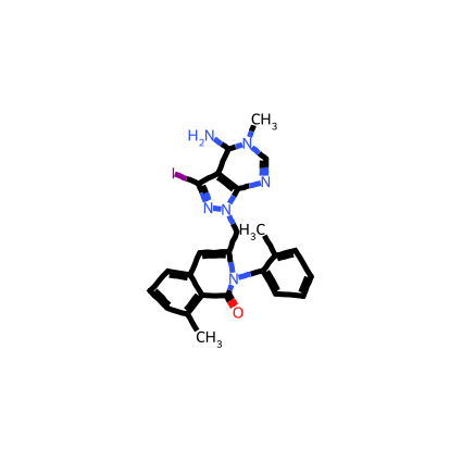 Cc1ccccc1-n1c(Cn2nc(I)c3c2N=CN(C)C3N)cc2cccc(C)c2c1=O